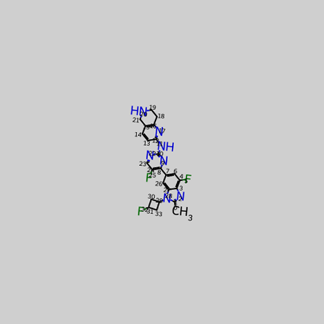 Cc1nc2c(F)cc(-c3nc(Nc4ccc5c(n4)CCNC5)ncc3F)cc2n1C1CC(F)C1